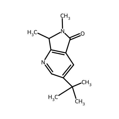 CC1c2ncc(C(C)(C)C)cc2C(=O)N1C